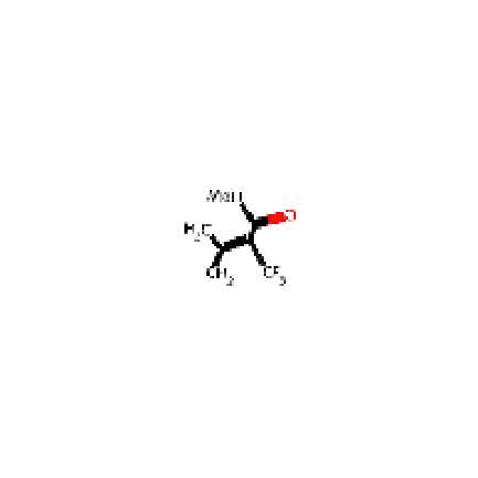 COC(=O)C(=C(C)C)C(F)(F)F